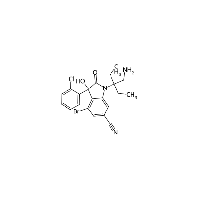 CCC(CC)(CN)N1C(=O)C(O)(c2ccccc2Cl)c2c(Br)cc(C#N)cc21